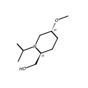 CO[C@@H]1CC[C@@H](CO)N(C(C)C)C1